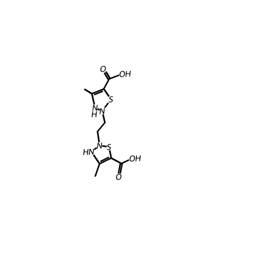 CC1=C(C(=O)O)SN(CCN2NC(C)=C(C(=O)O)S2)N1